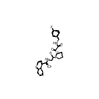 O=C(NCc1ccc(F)cc1)C(=O)[C@@H]1CCCN1C(=O)CNC(=O)c1ccnc2ccccc12